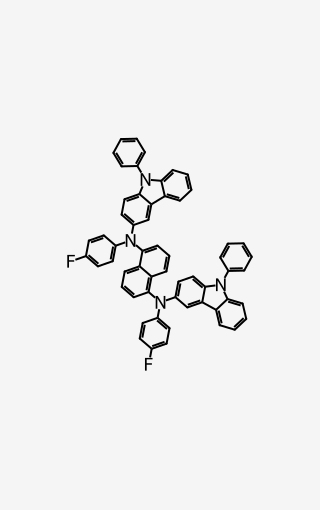 Fc1ccc(N(c2ccc3c(c2)c2ccccc2n3-c2ccccc2)c2cccc3c(N(c4ccc(F)cc4)c4ccc5c(c4)c4ccccc4n5-c4ccccc4)cccc23)cc1